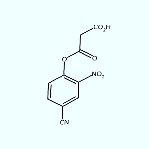 N#Cc1ccc(OC(=O)CC(=O)O)c([N+](=O)[O-])c1